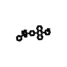 c1ccc(-c2nnc(-c3ccc(-c4c5ccccc5c(-c5cccnc5)c5ccccc45)cc3)o2)cc1